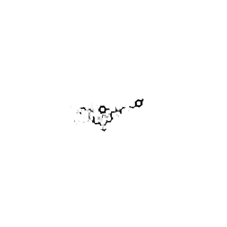 CC[C@H](C)[C@@H]([C@@H](CC(=O)N1CCC[C@H]1[C@H](OC)[C@@H](C)C(=O)N[C@@H](Cc1ccccc1)c1nc(C(=O)NCCc2ccc(O)cc2)cs1)OC)N(C)C(=O)[C@@H](NC(=O)C(C(C)C)N(C)C)C(C)C